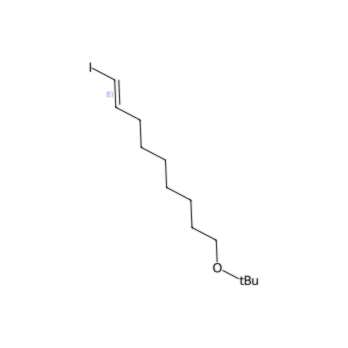 CC(C)(C)OCCCCCCC/C=C/I